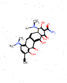 C#Cc1cc(N(C)C)c2c(c1O)C(=O)C1=C(O)C3(O)C(=O)C(C(N)=O)=C(O)C(N(C)C)C3CC1C2